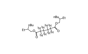 [2H]C([2H])(C(=O)OCC(CC)CCCC)C([2H])([2H])C([2H])([2H])C([2H])([2H])C(=O)OCC(CC)CCCC